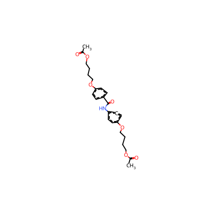 CC(=O)OCCCCOc1ccc(NC(=O)c2ccc(OCCCCOC(C)=O)cc2)cc1